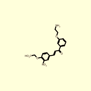 NCCOc1cccc(C(=O)C=Cc2ccc(OCC(=O)O)c([N+](=O)[O-])c2)c1